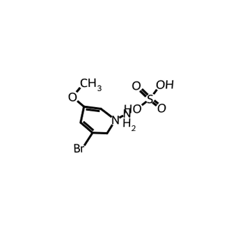 COC1=CN(N)CC(Br)=C1.O=S(=O)(O)O